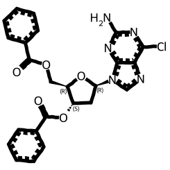 Nc1nc(Cl)c2ncn([C@H]3C[C@H](OC(=O)c4ccccc4)[C@@H](COC(=O)c4ccccc4)O3)c2n1